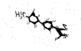 CC1CCC(c2ccc(C(F)=C(F)F)cc2)CC1